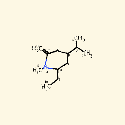 C=C1CC(C(C)C)CC(CC)N1C